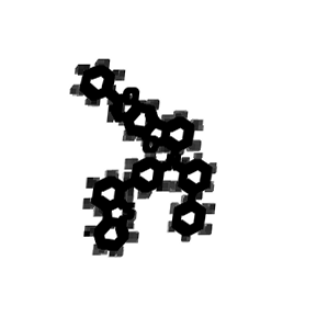 c1ccc(-c2cccc(N(c3ccc(-c4cccc5c4sc4ccccc45)cc3)c3cccc4c3oc3cc5nc(-c6ccccc6)oc5cc34)c2)cc1